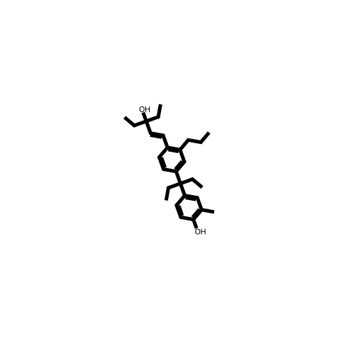 CCCc1cc(C(CC)(CC)c2ccc(O)c(C)c2)ccc1C=CC(O)(CC)CC